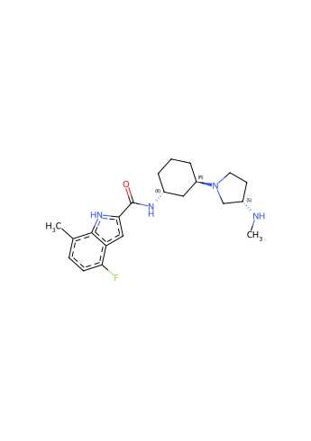 CN[C@H]1CCN([C@@H]2CCC[C@@H](NC(=O)c3cc4c(F)ccc(C)c4[nH]3)C2)C1